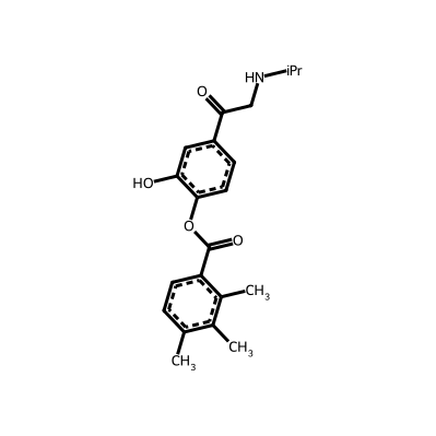 Cc1ccc(C(=O)Oc2ccc(C(=O)CNC(C)C)cc2O)c(C)c1C